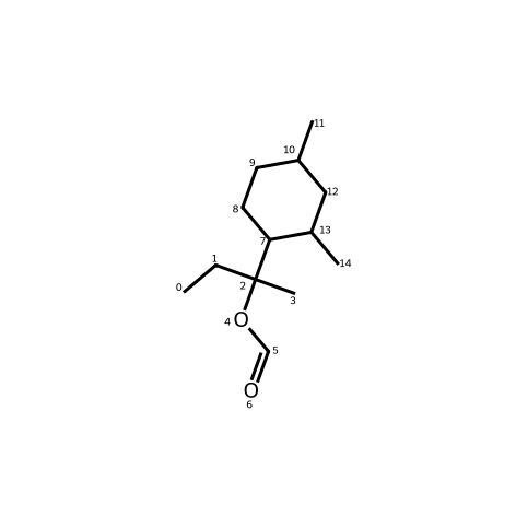 CCC(C)(OC=O)C1CCC(C)CC1C